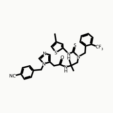 Cc1csc(NC(=S)N(Cc2ccccc2C(F)(F)F)CC(C)(C)NC(=O)Cc2cncn2Cc2ccc(C#N)cc2)c1